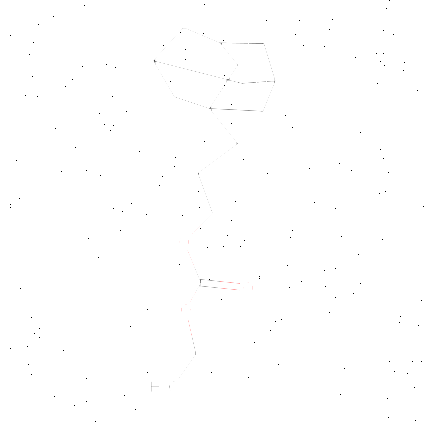 CCOC(=O)OCCCC12CC3CC(CC(C3)C1)C2